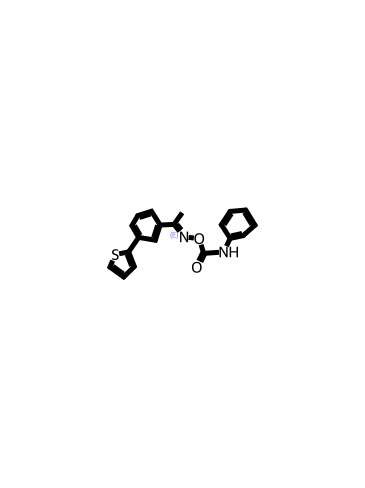 C/C(=N\OC(=O)Nc1ccccc1)c1cccc(-c2cccs2)c1